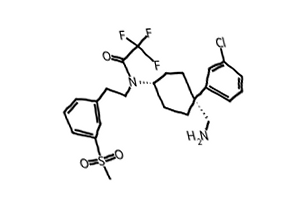 CS(=O)(=O)c1cccc(CCN(C(=O)C(F)(F)F)[C@H]2CC[C@](CN)(c3cccc(Cl)c3)CC2)c1